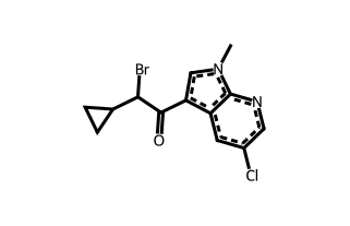 Cn1cc(C(=O)C(Br)C2CC2)c2cc(Cl)cnc21